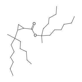 CCCCCCC(C)(CCCCC)OC(=O)C1CC1C(C)(CCCCC)CCCCCC